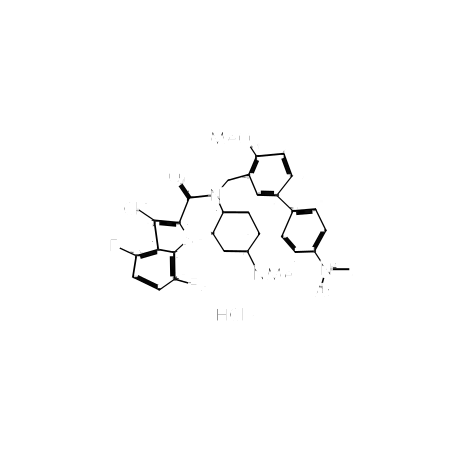 CNC1CCC(N(Cc2cc(-c3ccc(N(C)C(C)=O)cc3)ccc2OC)C(=O)c2sc3c(F)ccc(F)c3c2Cl)CC1.Cl